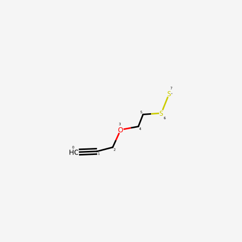 C#CCOCCS[S]